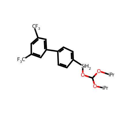 CC(C)OC(O[SiH2]c1ccc(-c2cc(C(F)(F)F)cc(C(F)(F)F)c2)cc1)OC(C)C